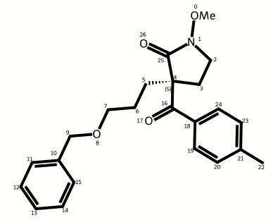 CON1CC[C@@](CCCOCc2ccccc2)(C(=O)c2ccc(C)cc2)C1=O